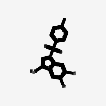 Cc1ccc(S(=O)(=O)n2cc(N)c3cc(Br)c(Cl)cc32)cc1